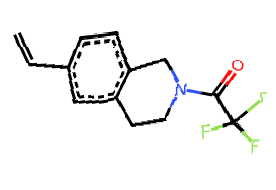 C=Cc1ccc2c(c1)CCN(C(=O)C(F)(F)F)C2